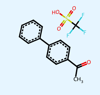 CC(=O)c1ccc(-c2ccccc2)cc1.O=S(=O)(O)C(F)(F)F